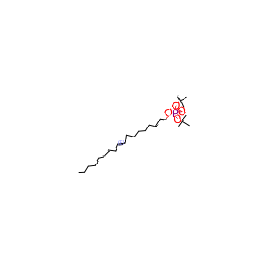 CCCCCCCC/C=C/CCCCCCCCOP(=O)(OC(C)(C)C)OC(C)(C)C